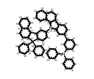 c1ccc(N(c2ccccc2)c2cccc(-c3ccc4c5ccc6ccccc6c5n(-c5ccc6c(c5)-c5c(ccc7ccccc57)C6(c5ccccc5)c5ccccc5)c4c3)c2)cc1